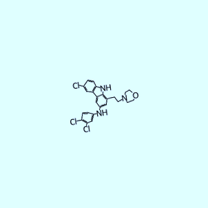 Clc1ccc2[nH]c3c(CCN4CCOCC4)cc(Nc4ccc(Cl)c(Cl)c4)cc3c2c1